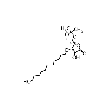 CC1(C)OC[C@@H]([C@H]2OC(=O)C(O)=C2OCCCCCCCCCCCO)O1